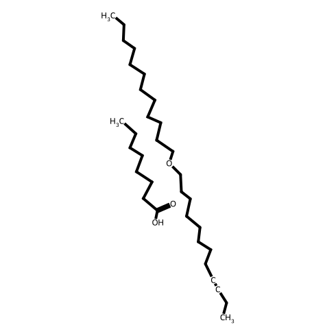 CCCCCCCC(=O)O.CCCCCCCCCCCCOCCCCCCCCCCCC